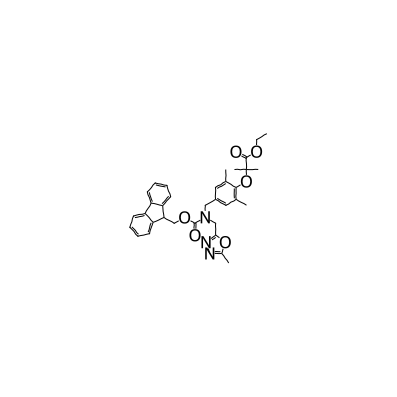 CCOC(=O)C(C)(C)Oc1c(C)cc(CN(Cc2nnc(C)o2)C(=O)OCC2c3ccccc3-c3ccccc32)cc1C